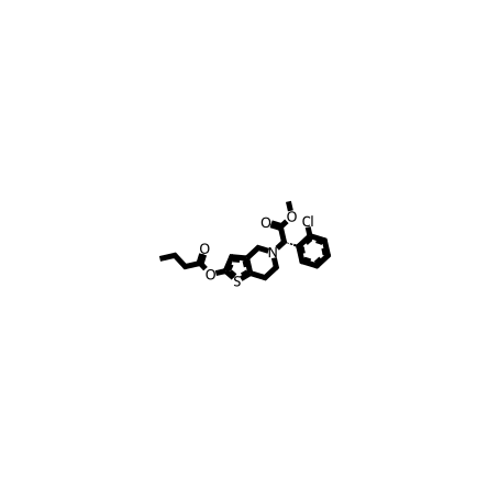 CCCC(=O)Oc1cc2c(s1)CCN([C@H](C(=O)OC)c1ccccc1Cl)C2